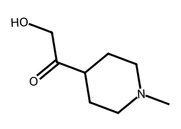 CN1CCC(C(=O)CO)CC1